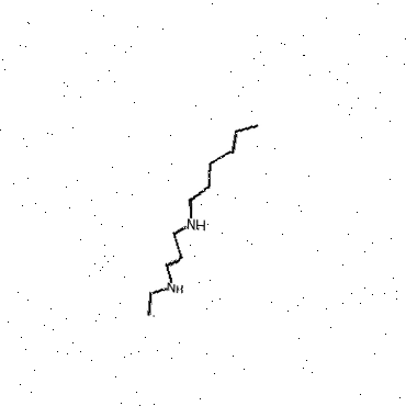 [CH2]CNCCCNCCCCCC